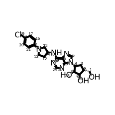 OC[C@H]1C[C@@H](n2cnc3c(N[C@H]4CCN(c5ccc(Cl)cc5)C4)ncnc32)[C@H](O)[C@@H]1O